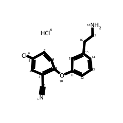 Cl.N#Cc1cc(Cl)ccc1Oc1cccc(CCN)c1